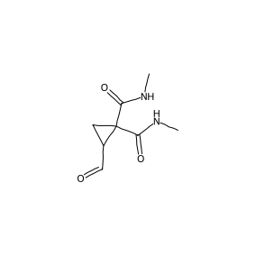 CNC(=O)C1(C(=O)NC)CC1C=O